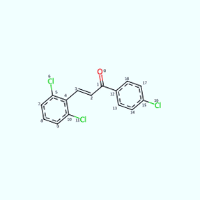 O=C(C=Cc1c(Cl)cccc1Cl)c1ccc(Cl)cc1